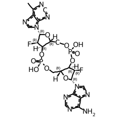 Cc1ncnc2c1ncn2[C@@H]1O[C@@H]2COP(=O)(O)O[C@H]3[C@@H](F)[C@H](n4cnc5c(N)ncnc54)O[C@@H]3COP(=O)(O)O[C@H]2[C@H]1F